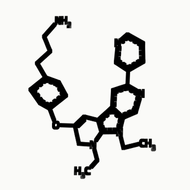 CCN1CC(Oc2ccc(CCCN)cc2)=Cc2c1n(CC)c1cnc(-c3cccnc3)cc21